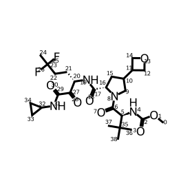 COC(=O)N[C@H](C(=O)N1CC(C2COC2)C[C@H]1C(=O)N[C@@H](CCC(C)(F)F)C(=O)C(=O)NC1CC1)C(C)(C)C